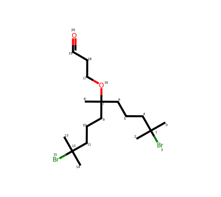 CC(C)(Br)CCCC(C)(CCCC(C)(C)Br)OCCC=O